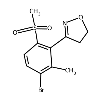 Cc1c(Br)ccc(S(C)(=O)=O)c1C1=NOCC1